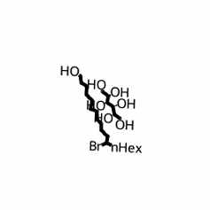 CCCCCCC(Br)CCCCCCCCCCCO.OC[C@@H](O)[C@@H](O)[C@H](O)[C@H](O)CO